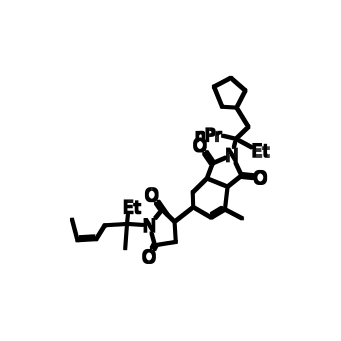 C/C=C\CC(C)(CC)N1C(=O)CC(C2C=C(C)C3C(=O)N(C(CC)(CCC)CC4CCCC4)C(=O)C3C2)C1=O